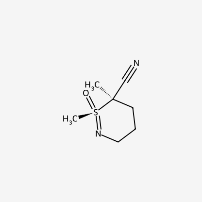 C[C@]1(C#N)CCCN=[S@]1(C)=O